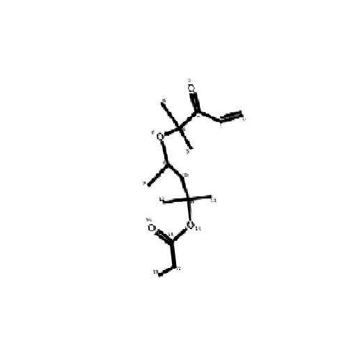 C=CC(=O)C(C)(C)OC(C)CC(C)(C)OC(=O)CC